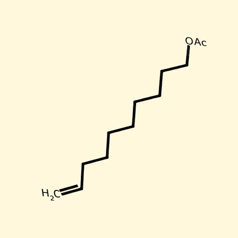 C=CCCCCCCCCOC(C)=O